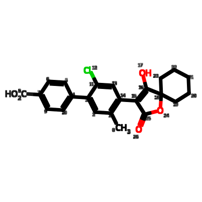 Cc1cc(-c2ccc(C(=O)O)cc2)c(Cl)cc1C1=C(O)C2(CCCCC2)OC1=O